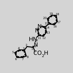 O=C(O)/C(Cc1ccccc1)=N/Nc1ccc(-c2ccccc2)nn1